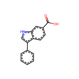 O=C(O)c1ccc2c(-c3ccccc3)c[nH]c2c1